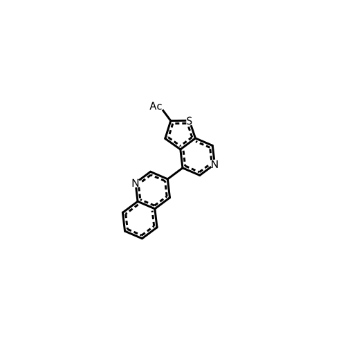 CC(=O)c1cc2c(-c3cnc4ccccc4c3)cncc2s1